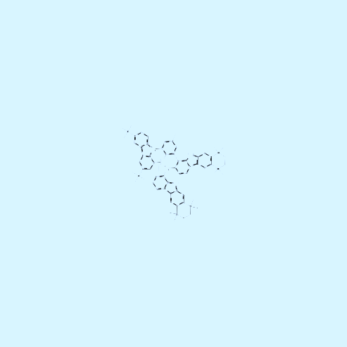 Cc1cc(-c2c(Nc3cccc4c3oc3cc5c(cc34)C(C)(C)CCC5(C)C)ccc3c2oc2cc4c(cc23)C(C)(C)CCC4(C)C)c2c(c1)-n1c3ccc(C(C)(C)C)cc3c3cc(C(C)(C)C)cc(c31)B2